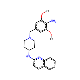 CCOc1cc(CN2CCC(Nc3ccc4ccccc4n3)CC2)cc(OCC)c1N